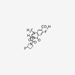 CN(C)c1cc(C(=O)O)c(F)cc1C(=O)NS(=O)(=O)N1CC[C@@H](F)C1